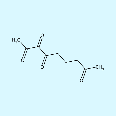 CC(=O)CCCC(=O)C(=O)C(C)=O